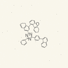 C1=Cc2c(oc3cccc(-c4cc(-c5nc(-c6ccccc6)nc(-c6ccc(-c7cccc8ccccc78)cc6)n5)cc5c4CCC=C5)c23)CC1